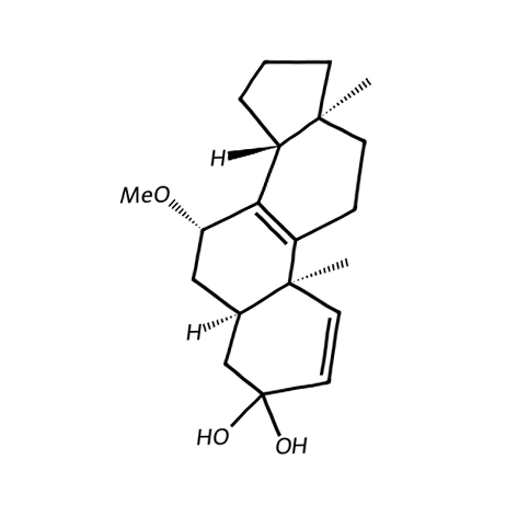 CO[C@H]1C[C@@H]2CC(O)(O)C=C[C@]2(C)C2=C1[C@@H]1CCC[C@@]1(C)CC2